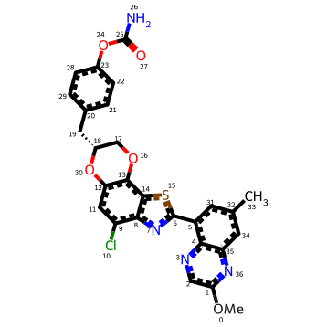 COc1cnc2c(-c3nc4c(Cl)cc5c(c4s3)OC[C@@H](Cc3ccc(OC(N)=O)cc3)O5)cc(C)cc2n1